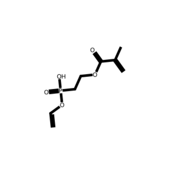 C=COP(=O)(O)CCOC(=O)C(=C)C